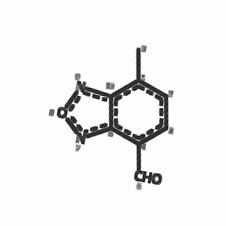 Cc1ccc(C=O)c2nonc12